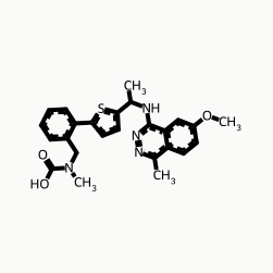 COc1ccc2c(C)nnc(NC(C)c3ccc(-c4ccccc4CN(C)C(=O)O)s3)c2c1